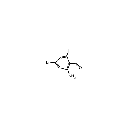 Nc1cc(Br)cc(I)c1C=O